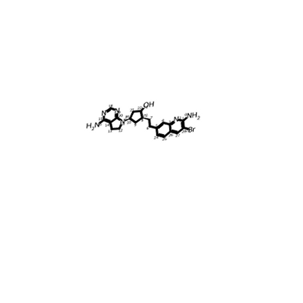 Nc1nc2cc(CC[C@H]3C[C@@H](N4CCc5c(N)ncnc54)CC3O)ccc2cc1Br